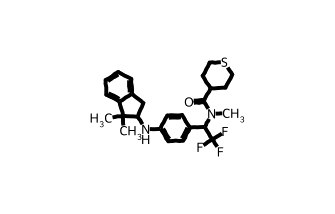 CN(C(=O)C1CCSCC1)C(c1ccc(NC2Cc3ccccc3C2(C)C)cc1)C(F)(F)F